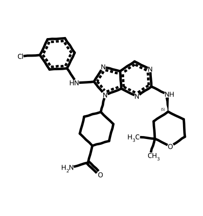 CC1(C)C[C@@H](Nc2ncc3nc(Nc4cccc(Cl)c4)n(C4CCC(C(N)=O)CC4)c3n2)CCO1